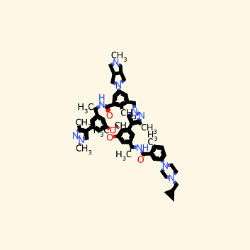 COc1cc(-c2cn(Cc3cc(N4CC5CN(C)CC5C4)cc(C(=O)N[C@H](C)c4cc(OC)cc(-c5cn(C)nc5C)c4)c3C)nc2C)cc([C@@H](C)NC(=O)c2cc(N3CCN(CC4CC4)CC3)ccc2C)c1